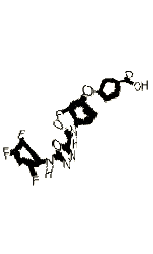 O=C(Nc1ccc(O[C@H]2CC[C@H](C(=O)O)CC2)cc1F)c1nnc(Nc2cc(F)c(F)cc2F)o1